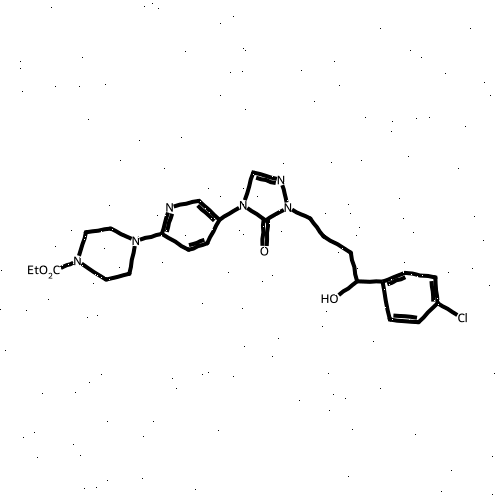 CCOC(=O)N1CCN(c2ccc(-n3cnn(CCCC(O)c4ccc(Cl)cc4)c3=O)cn2)CC1